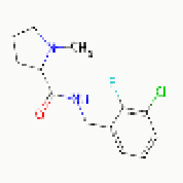 CN1CCCC1C(=O)NCc1cccc(Cl)c1F